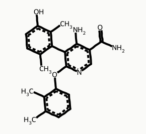 Cc1cccc(Oc2ncc(C(N)=O)c(N)c2-c2c(C)ccc(O)c2C)c1C